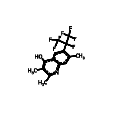 Cc1cc2nc(C)c(C)c(O)c2cc1C(F)(C(F)(F)F)C(F)(F)F